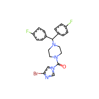 O=C(N1CCN(C(c2ccc(F)cc2)c2ccc(F)cc2)CC1)n1cnc(Br)c1